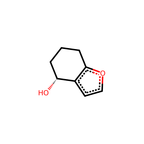 O[C@@H]1CCCc2occc21